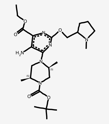 CCOC(=O)c1nc(OCC2CCCN2C)nc(N2C[C@H](C)N(C(=O)OC(C)(C)C)C[C@@H]2C)c1N